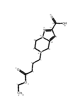 CCOC(=O)CCCN1CCn2nc(C(=O)O)cc2C1